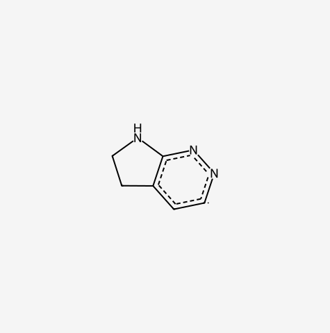 [c]1cc2c(nn1)NCC2